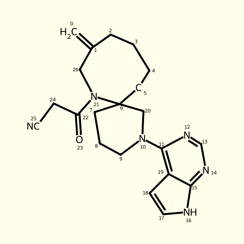 C=C1CCCCC2(CCCN(c3ncnc4[nH]ccc34)C2)N(C(=O)CC#N)C1